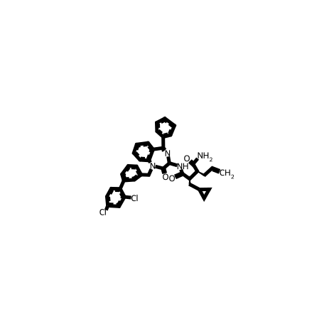 C=CC[C@H](C(N)=O)[C@@H](CC1CC1)C(=O)NC1N=C(c2ccccc2)c2ccccc2N(Cc2cccc(-c3ccc(Cl)cc3Cl)c2)C1=O